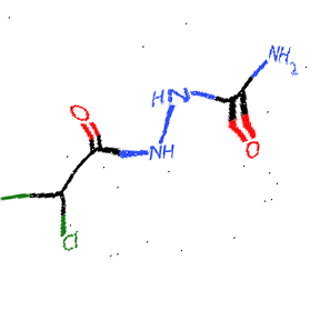 NC(=O)NNC(=O)C(Cl)Cl